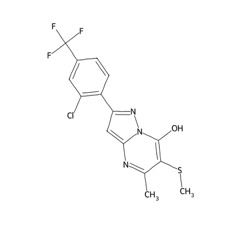 CSc1c(C)nc2cc(-c3ccc(C(F)(F)F)cc3Cl)nn2c1O